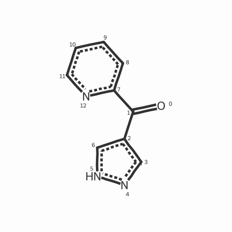 O=C(c1[c]n[nH]c1)c1ccccn1